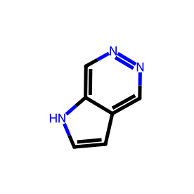 c1cc2cnncc2[nH]1